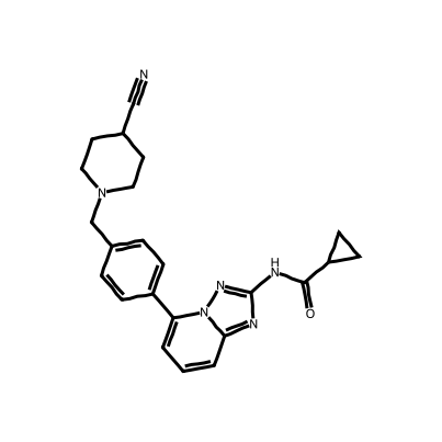 N#CC1CCN(Cc2ccc(-c3cccc4nc(NC(=O)C5CC5)nn34)cc2)CC1